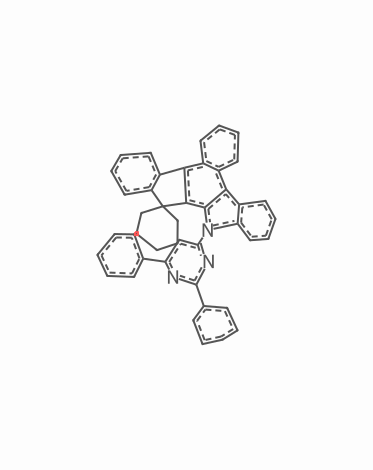 c1ccc(-c2cc(-n3c4ccccc4c4c5ccccc5c5c(c43)C3(CCCCC3)c3ccccc3-5)nc(-c3ccccc3)n2)cc1